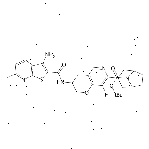 Cc1ccc2c(N)c(C(=O)NC3COc4c(cnc(N5CC6CCC(C5)N6C(=O)OC(C)(C)C)c4F)C3)sc2n1